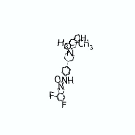 CC(C)(O)CC(=O)N1CCC(c2ccc(NC(=O)N3Cc4cc(F)cc(F)c4C3)cc2)CC1